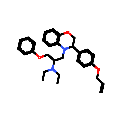 C=CCOc1ccc(C2COc3ccccc3N2CC(COc2ccccc2)N(CC)CC)cc1